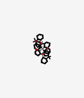 CC1(C)c2ccccc2N(c2ccccc2[Si](c2ccccc2)(c2ccccc2)c2ccccc2N2c3ccccc3C(C)(C)c3ccccc32)c2ccccc21